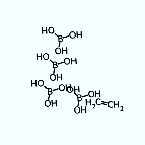 C=C.OB(O)O.OB(O)O.OB(O)O.OB(O)O